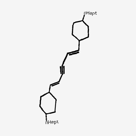 CCCCCCCC1CCC(C=CC#CC=CC2CCC(CCCCCCC)CC2)CC1